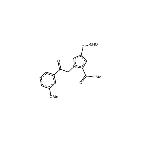 COC(=O)c1cc(OC=O)cn1CC(=O)c1cccc(OC)c1